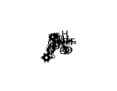 Cc1ccccc1N1CCN(S(=O)(=O)CC23CCC(CC2NC(=O)[C@H](CCS(C)(=O)=O)NCCF)C3(C)C)CC1